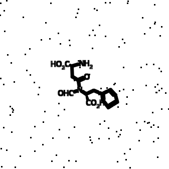 N[C@@H](CC(=O)N(C=O)[C@@H](Cc1ccccc1)C(=O)O)C(=O)O